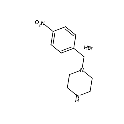 Br.O=[N+]([O-])c1ccc(CN2CCNCC2)cc1